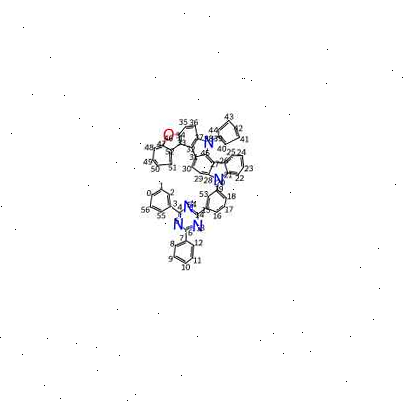 c1ccc(-c2nc(-c3ccccc3)nc(-c3cccc(-n4c5ccccc5c5c4ccc4c6c7c(ccc6n(-c6ccccc6)c45)oc4ccccc47)c3)n2)cc1